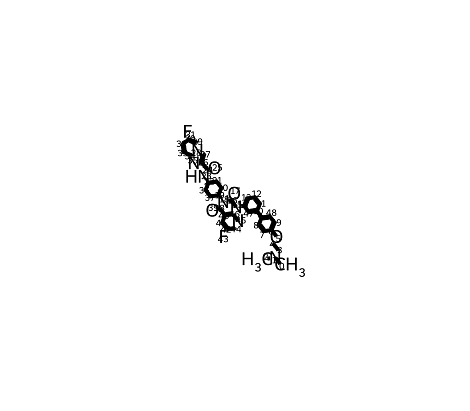 CN(C)CCOc1ccc(-c2cccc(-n3c(=O)n([C@H]4CC[C@@H](NC(=O)c5cn6cc(F)ccc6n5)CC4)c(=O)c4cc(F)cnc43)c2)cc1